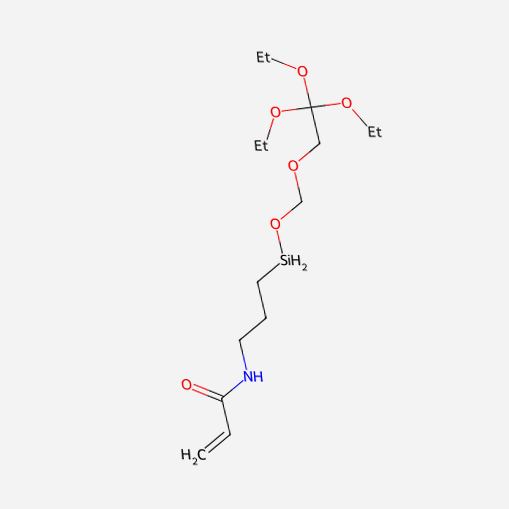 C=CC(=O)NCCC[SiH2]OCOCC(OCC)(OCC)OCC